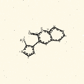 Nc1sccc1-c1cc2ccccc2oc1=O